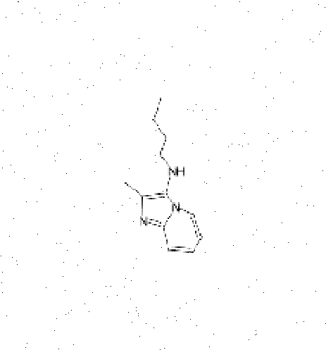 CCCCNc1c(C)nc2ccccn12